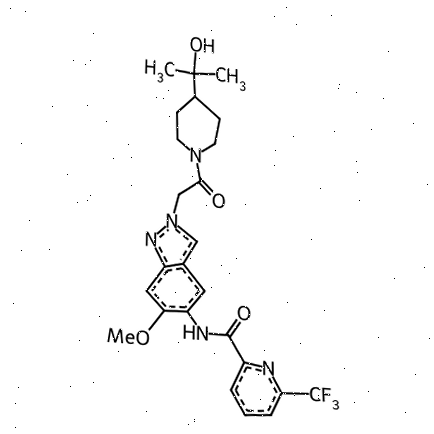 COc1cc2nn(CC(=O)N3CCC(C(C)(C)O)CC3)cc2cc1NC(=O)c1cccc(C(F)(F)F)n1